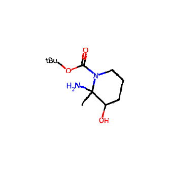 CC(C)(C)OC(=O)N1CCCC(O)C1(C)N